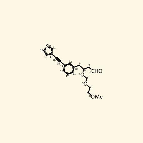 COCCOCOC(CC=O)Cc1cccc(C#Cc2ccsc2)c1